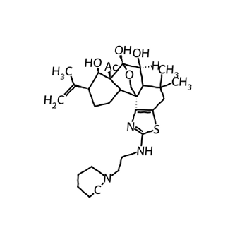 C=C(C)[C@@H]1CCC2[C@@]34CO[C@@](O)([C@@H](O)C3C(C)(C)Cc3sc(NCCN5CCCCC5)nc34)[C@@]2(C(C)=O)[C@@H]1O